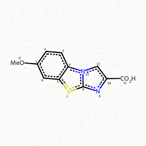 COc1ccc2c(c1)sc1nc(C(=O)O)cn12